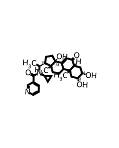 CC([C@H]1CC[C@@]2(O)C3=CC(=O)[C@@H]4C[C@@H](O)[C@@H](O)C[C@]4(C)C3CC[C@]12C)N(C(=O)c1cccnc1)C1CC1